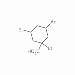 CCC1CC(C(C)=O)CC(CC)(C(=O)O)C1